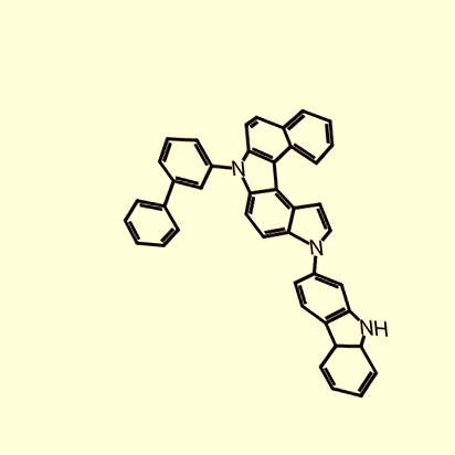 C1=CC2Nc3cc(-n4ccc5c6c7c8ccccc8ccc7n(-c7cccc(-c8ccccc8)c7)c6ccc54)ccc3C2C=C1